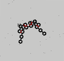 Cc1cc(-c2ccc(N(c3ccc(-c4ccc(-c5ccccc5)cc4)cc3)c3c(-c4ccccc4)cccc3-c3ccccc3)c(C)c2)ccc1N(c1ccc(-c2ccc(-c3ccccc3)cc2)cc1)c1c(-c2ccccc2)cccc1-c1ccccc1